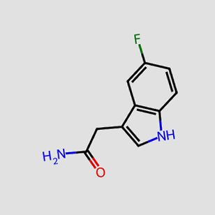 NC(=O)Cc1c[nH]c2ccc(F)cc12